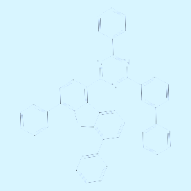 c1ccc(-c2cccc(-c3nc(-c4ccccc4)nc(-c4ccc(-c5ccccc5)c5oc6c(-c7ccccc7)cccc6c45)n3)c2)cc1